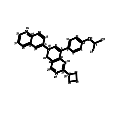 FC(F)Oc1ccc(C2=CN(c3ccc4ncccc4c3)Cc3cnc(N4CCC4)nc32)cc1